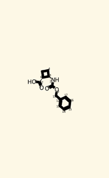 O=C(N[C@H]1CC[C@H]1C(=O)O)OCc1ccccc1